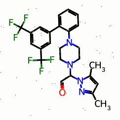 Cc1cc(C)n(C(C=O)N2CCN(c3ccccc3-c3cc(C(F)(F)F)cc(C(F)(F)F)c3)CC2)n1